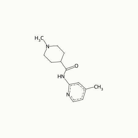 Cc1ccnc(NC(=O)C2CCN(C)CC2)c1